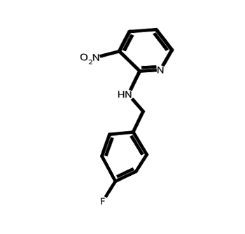 O=[N+]([O-])c1cccnc1NCc1ccc(F)cc1